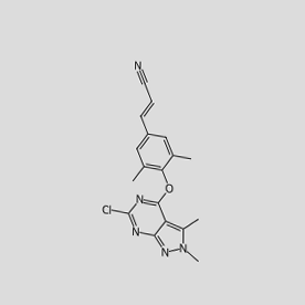 Cc1cc(C=CC#N)cc(C)c1Oc1nc(Cl)nc2nn(C)c(C)c12